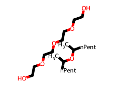 CCCCCC(C)OC(C)CCCCC.OCCOCCOCCOCCO